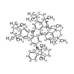 CC1(C)CCC(C)(C)c2cc(N3c4cc5c(cc4B4c6cc7c(cc6-c6cc(N8c9ccccc9C9(C)CCCCC89C)cc3c64)C(C)(C)CCC7(C)C)C(C)(C)CCC5(C)C)ccc21